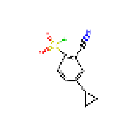 N#Cc1cc(C2CC2)ccc1S(=O)(=O)Cl